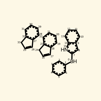 B(c1ccccc1)c1cc2ccccc2[nH]1.C1=Cc2ccccc2C1.C1=Cc2ccccc2C1